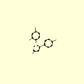 Cc1ccc(-c2cc(C(F)(F)F)nn2-c2ccc(C)cc2F)cc1